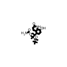 CC(C)(C)C(COC(N)=O)(O[Si](C)(C)C(C)(C)C)c1ccc(O)c2[nH]c(=O)ccc12